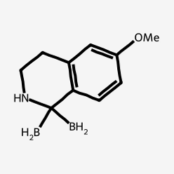 BC1(B)NCCc2cc(OC)ccc21